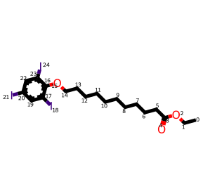 CCOC(=O)CCCCCCCCCCOc1c(I)cc(I)cc1I